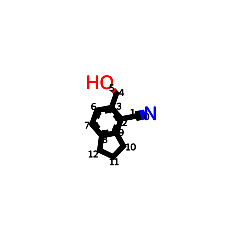 N#Cc1c(CO)ccc2c1CCC2